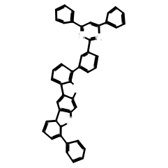 C1=CC2c3cc4c(cc3OC2C(c2ccccc2)=C1)oc1c(-c2cccc(-c3nc(-c5ccccc5)cc(-c5ccccc5)n3)c2)cccc14